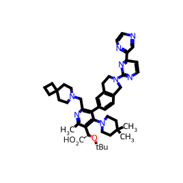 Cc1nc(CN2CCC3(CCC3)CC2)c(-c2ccc3c(c2)CCN(c2nccc(-c4cnccn4)n2)C3)c(N2CCC(C)(C)CC2)c1[C@H](OC(C)(C)C)C(=O)O